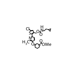 COC(=O)[C@H]1CCC[C@H](Oc2ccc(-c3sc(Cl)cc3COC(=O)NCCC3CC3)nc2C)C1